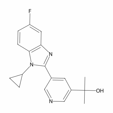 CC(C)(O)c1cncc(-c2nc3cc(F)ccc3n2C2CC2)c1